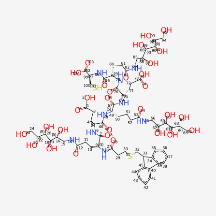 O=C(O)CC[C@H](NC(=O)[C@H](CCC(=O)NC[C@H](O)[C@@H](O)[C@H](O)[C@H](O)CO)NC(=O)CCSCC1c2ccccc2-c2ccccc21)C(=O)N[C@@H](CCCC(=O)NC[C@H](O)[C@@H](O)[C@H](O)[C@H](O)CO)C(=O)N[C@@H](CCC(=O)O)C(=O)N[C@@H](CCC(=O)NC[C@H](O)[C@@H](O)[C@H](O)[C@H](O)CO)C(=O)N[C@@H](CS)C(=O)O